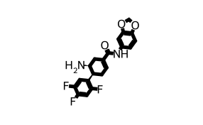 N[C@@H]1CC(C(=O)Nc2ccc3c(c2)OCO3)=CC[C@H]1c1cc(F)c(F)cc1F